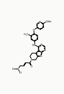 CCN(CC)C/C=C/C(=O)N1CCc2c(sc3ncnc(Nc4ccc(Oc5ccc(OC)nc5)c(C)c4)c23)C1